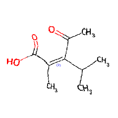 CC(=O)/C(=C(/C)C(=O)O)C(C)C